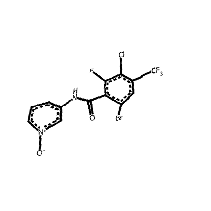 O=C(Nc1ccc[n+]([O-])c1)c1c(Br)cc(C(F)(F)F)c(Cl)c1F